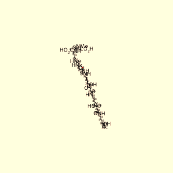 CN[C@@H](CC(=O)O)C(=O)N[C@@H](CCCCNC(=S)Nc1ccc(NC(=S)NCCCCCN(O)C(=O)CCC(=O)NCCCCCN(O)C(=O)CCC(=O)NCCCCCN(O)C(C)=O)cc1)C(=O)O